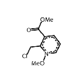 COC(=O)c1ccc[n+](OC)c1CCl